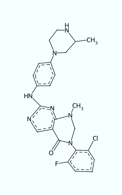 CC1CN(c2ccc(Nc3ncc4c(n3)N(C)CN(c3c(F)cccc3Cl)C4=O)cc2)CCN1